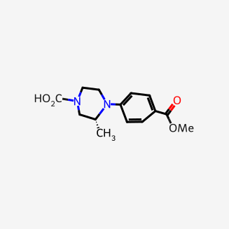 COC(=O)c1ccc(N2CCN(C(=O)O)C[C@H]2C)cc1